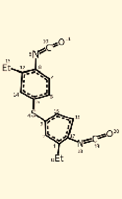 CCc1cc(Sc2ccc(N=C=O)c(CC)c2)ccc1N=C=O